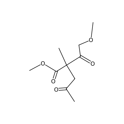 COCC(=O)C(C)(CC(C)=O)C(=O)OC